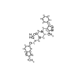 Cc1nc2cc(OC[C@H](O)CN3CCN(Cc4c(C)noc4-c4ccccc4)C[C@@H]3C)ccc2s1